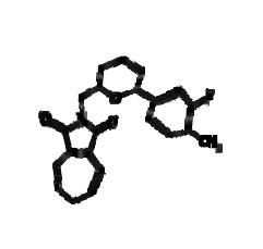 Cc1ccc(C2CCCC(CN3C(=O)C4=C(C=CCC=C4)C3=O)O2)cc1F